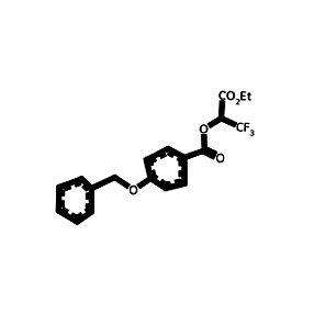 CCOC(=O)C(OC(=O)c1ccc(OCc2ccccc2)cc1)C(F)(F)F